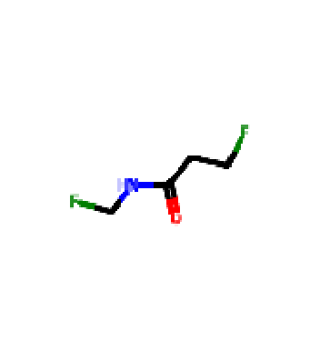 O=C(CCF)NCF